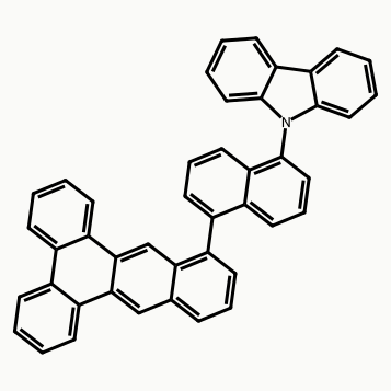 c1cc(-c2cccc3c(-n4c5ccccc5c5ccccc54)cccc23)c2cc3c4ccccc4c4ccccc4c3cc2c1